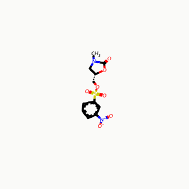 CN1C[C@@H](COS(=O)(=O)c2cccc([N+](=O)[O-])c2)OC1=O